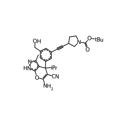 Cc1n[nH]c2c1C(c1cc(C#CC3CCN(C(=O)OC(C)(C)C)C3)cc(CO)c1)(C(C)C)C(C#N)=C(N)O2